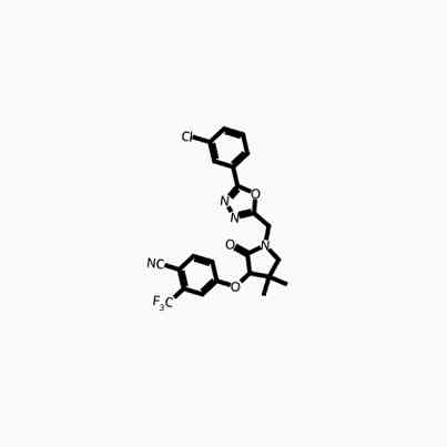 CC1(C)CN(Cc2nnc(-c3cccc(Cl)c3)o2)C(=O)C1Oc1ccc(C#N)c(C(F)(F)F)c1